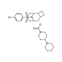 O=C(O[C@H]1C2CCC2C2CCCC1N2S(=O)(=O)c1ccc(Cl)cc1)N1CCC(N2CCCCC2)CC1